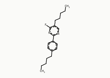 CCCCCc1ccc(-c2ncc(CCCCC)c(F)n2)cc1